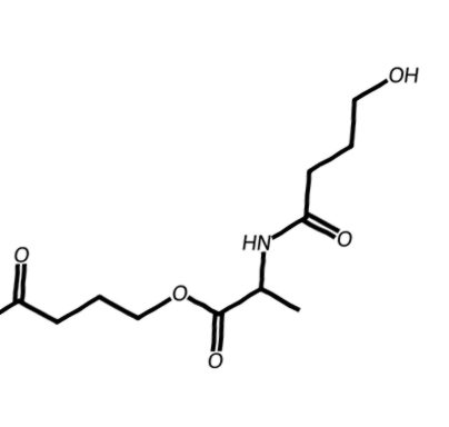 CC(=O)CCCOC(=O)C(C)NC(=O)CCCO